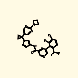 O=C(Nc1cnn(C2(c3cnc(N4CCC4)nc3)CC2)c1)c1cncc(-c2c(C(F)F)ccc(Cl)c2F)n1